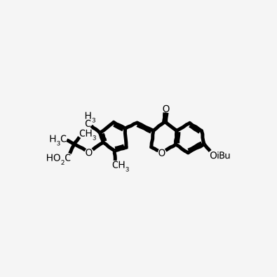 Cc1cc(/C=C2\COc3cc(OCC(C)C)ccc3C2=O)cc(C)c1OC(C)(C)C(=O)O